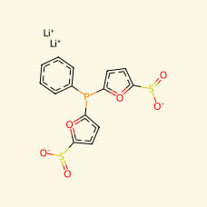 O=S([O-])c1ccc(P(c2ccccc2)c2ccc(S(=O)[O-])o2)o1.[Li+].[Li+]